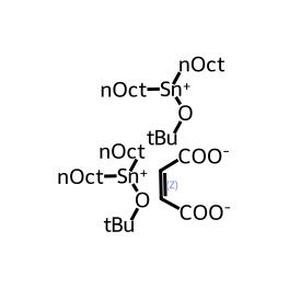 CCCCCCC[CH2][Sn+]([CH2]CCCCCCC)[O]C(C)(C)C.CCCCCCC[CH2][Sn+]([CH2]CCCCCCC)[O]C(C)(C)C.O=C([O-])/C=C\C(=O)[O-]